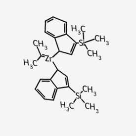 C[C](C)=[Zr]([CH]1C=C([Si](C)(C)C)c2ccccc21)[CH]1C=C([Si](C)(C)C)c2ccccc21